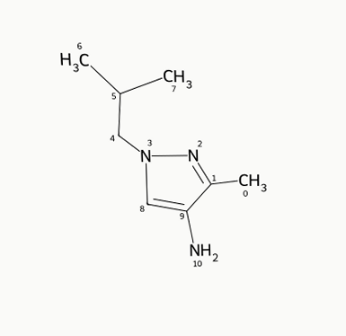 Cc1nn(CC(C)C)cc1N